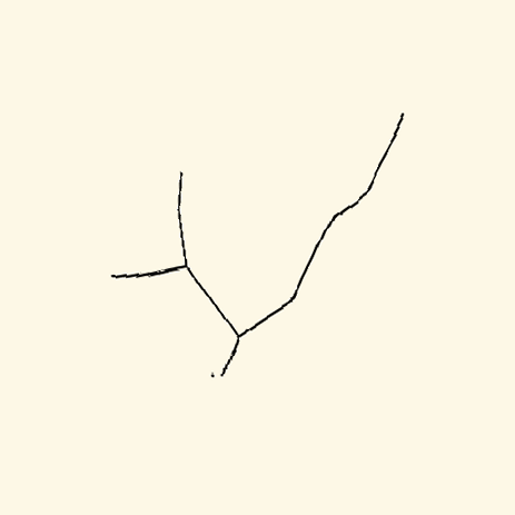 [CH2]C(CCCC)C(C)C